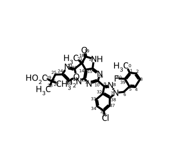 Cc1cccc(Cn2nc(-c3nc(N)c4c(n3)NC(=O)C4(C)c3nc(CC(C)(C)C(=O)O)co3)c3ccc(Cl)cc32)c1F